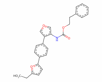 O=C(O)Cc1ccc(-c2ccc(-c3cocc3NC(=O)OCCc3ccccc3)cc2)o1